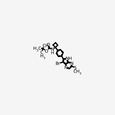 CSc1cnc2c(Br)c(-c3ccc(C4(NC(=O)OC(C)(C)C)CCC4)cc3)[nH]c2n1